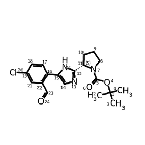 CC(C)(C)OC(=O)N1CCC[C@H]1c1ncc(-c2ccc(Cl)cc2C=O)[nH]1